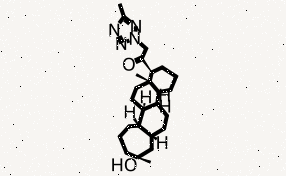 Cc1nnn(CC(=O)[C@H]2CCC[C@H]3[C@@H]4CC[C@@H]5C[C@](C)(O)CCC[C@@H]5[C@H]4CC[C@]23C)n1